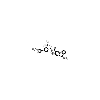 CN(C(=O)c1cc2c(cc1F)nc(N)c1cncn12)C1COC(C)(C)c2cc(-c3cnn(C)c3)ccc21